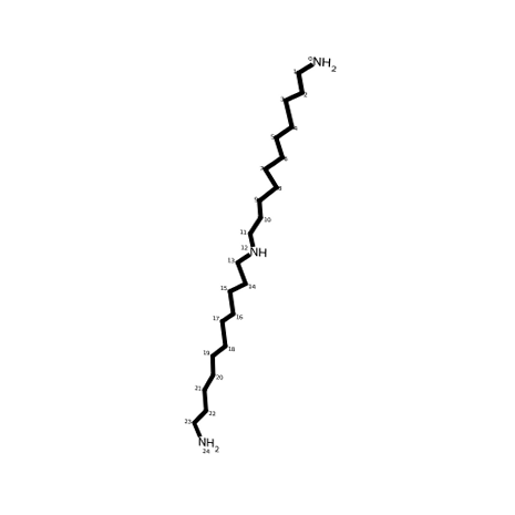 NCCCCCCCCCCCNCCCCCCCCCCCN